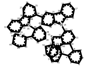 c1ccc(-c2ccccc2-c2ccc(-n3c4ccccc4c4cc(-c5cccc6c7ccccc7n(-c7ccccc7-c7ccccc7)c56)ccc43)c3sc4ccccc4c23)cc1